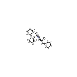 O=C(C[n+]1ccccc1)N/N=C(/Cc1ccccc1)c1ccccn1